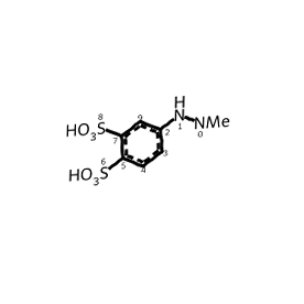 CNNc1ccc(S(=O)(=O)O)c(S(=O)(=O)O)c1